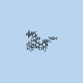 Cc1nc(N2CCOC[C@H]2C)c(NC(=O)c2ccnc(C(F)(F)F)c2)cc1-c1ccnc(NCCO)c1